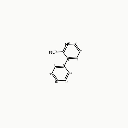 N#Cc1ncccc1-c1cc[c]cc1